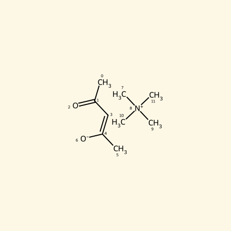 CC(=O)/C=C(/C)[O-].C[N+](C)(C)C